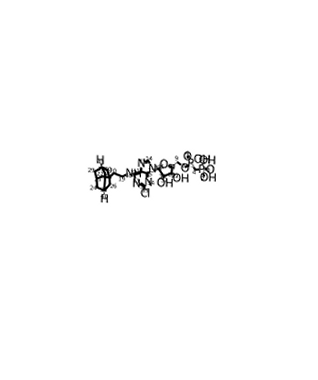 O=P(O)(O)CP(=O)(O)OC[C@H]1O[C@@H](n2cnc3c(NCCC45CC6C[C@H](C4)C[C@H](C6)C5)nc(Cl)nc32)C(O)C1O